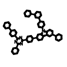 c1ccc(-c2ccc(-c3nc(-c4ccccc4)nc(-c4ccc(-c5ccc6c7cc(-c8ccccc8)ccc7n(-c7ccc(-c8cccc(-c9ccccc9)c8)cc7)c6c5)cc4)n3)cc2)cc1